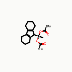 CC(C)(C)C(=O)[O][Ti]([CH3])([O]C(=O)C(C)(C)C)[CH]1C2=C(CCCC2)C2=C1CCCC2